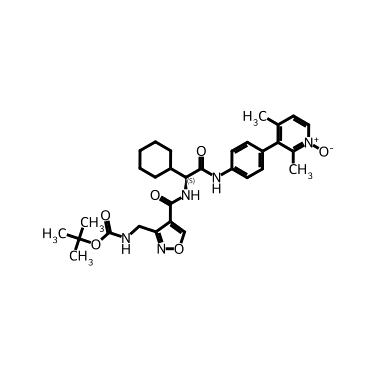 Cc1cc[n+]([O-])c(C)c1-c1ccc(NC(=O)[C@@H](NC(=O)c2conc2CNC(=O)OC(C)(C)C)C2CCCCC2)cc1